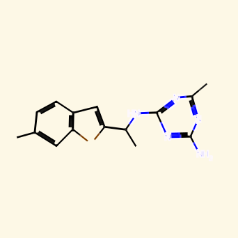 Cc1ccc2cc(C(C)Nc3nc(N)nc(C(F)(F)F)n3)sc2c1